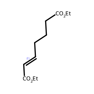 CCOC(=O)/C=C/CCCC(=O)OCC